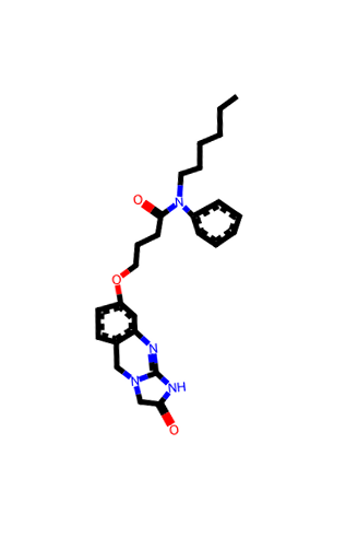 CCCCCCN(C(=O)CCCOc1ccc2c(c1)N=C1NC(=O)CN1C2)c1ccccc1